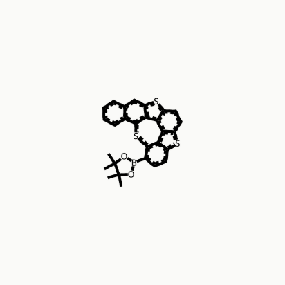 CC1(C)OB(c2ccc3sc4ccc5sc6cc7ccccc7c7sc2c3c4c5c67)OC1(C)C